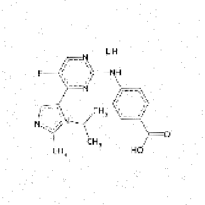 Cc1ncc(-c2nc(Nc3ccc(C(=O)O)cc3)ncc2F)n1C(C)C.[LiH]